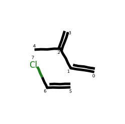 C=CC(=C)C.C=CCl